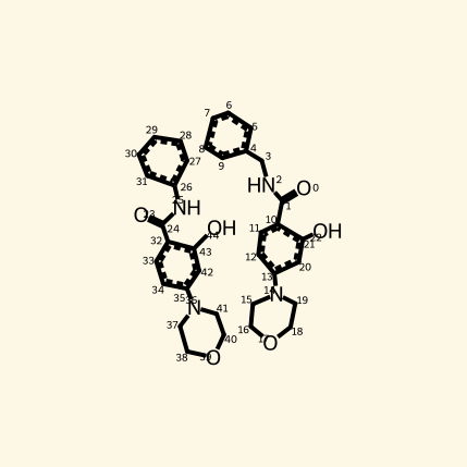 O=C(NCc1ccccc1)c1ccc(N2CCOCC2)cc1O.O=C(Nc1ccccc1)c1ccc(N2CCOCC2)cc1O